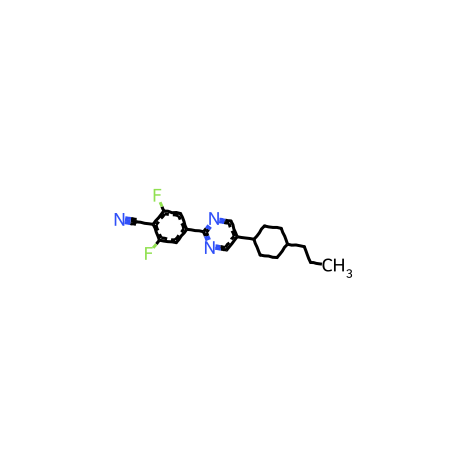 CCCC1CCC(c2cnc(-c3cc(F)c(C#N)c(F)c3)nc2)CC1